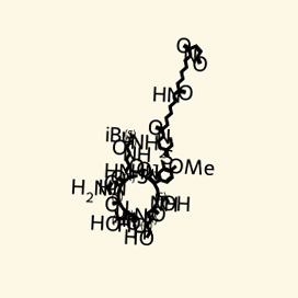 CC[C@H](C)[C@H](N)C(=O)NCC(=O)N[C@H]1C[S+]([O-])c2[nH]c3c(CSC4CCN(C(=O)CCCCCNC(=O)CCCCCN5C(=O)C=CC5=O)CC4)c(OC)ccc3c2C[C@@H](CO)NC(=O)[C@H]([C@@H](C)[C@@H](O)CO)NC(=O)[C@@H]2C[C@@H](O)CN2C(=O)[C@H](CC(N)=O)NC1=O